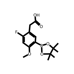 COc1cc(F)c(CC(=O)O)cc1B1OC(C)(C)C(C)(C)O1